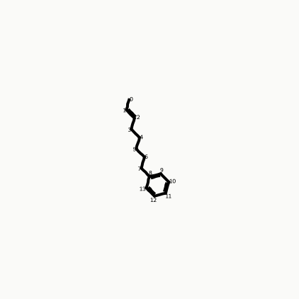 CC=CCCCCCc1ccccc1